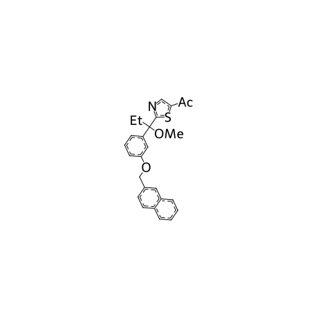 CCC(OC)(c1cccc(OCc2ccc3ccccc3c2)c1)c1ncc(C(C)=O)s1